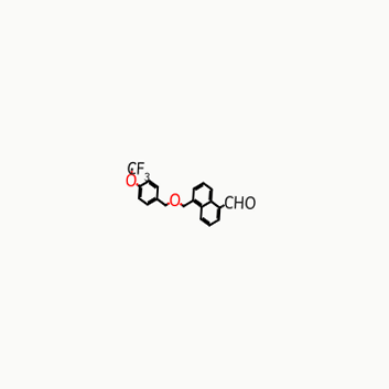 O=Cc1cccc2c(COCc3ccc(OC(F)(F)F)cc3)cccc12